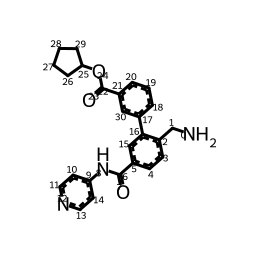 NCc1ccc(C(=O)Nc2ccncc2)cc1-c1cccc(C(=O)OC2CCCC2)c1